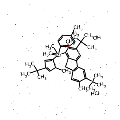 Cl.Cl.[CH2]=[Zr]([CH3])([C]1=CC(C(C)(C)C)=CC1C)([c]1ccc(C)cc1)[c]1c(C)c(C(C)(C)C)cc2c1Cc1cc(C)c(C(C)(C)C)cc1-2